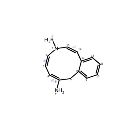 BN1/C=C\C=C(\N)Cc2ccccc2/C=C\1